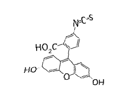 O=C(O)c1cc(N=C=S)ccc1C1=C2C=C[C@@H](O)C=C2Oc2cc(O)ccc21